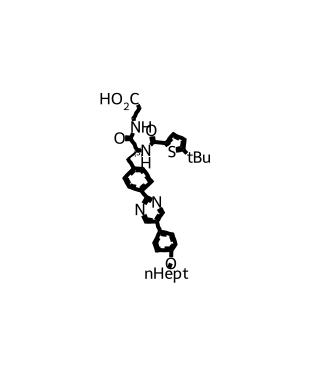 CCCCCCCOc1ccc(-c2cnc(-c3ccc(C[C@H](NC(=O)c4ccc(C(C)(C)C)s4)C(=O)NCCC(=O)O)cc3)nc2)cc1